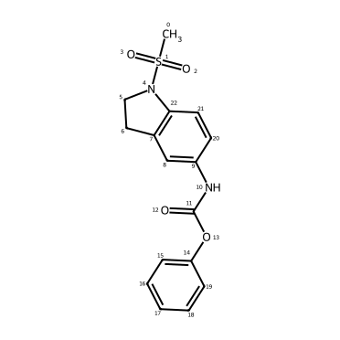 CS(=O)(=O)N1CCc2cc(NC(=O)Oc3ccccc3)ccc21